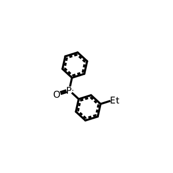 CCc1cccc([P](=O)c2ccccc2)c1